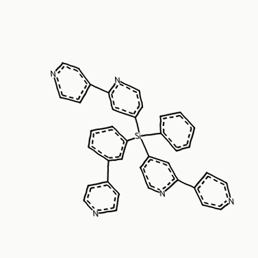 c1ccc([Si](c2cccc(-c3ccncc3)c2)(c2ccnc(-c3ccncc3)c2)c2ccnc(-c3ccncc3)c2)cc1